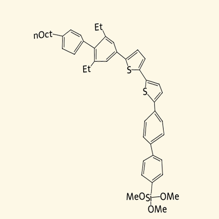 CCCCCCCCc1ccc(-c2c(CC)cc(-c3ccc(-c4ccc(-c5ccc(-c6ccc([Si](OC)(OC)OC)cc6)cc5)s4)s3)cc2CC)cc1